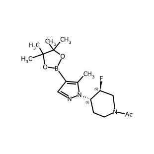 CC(=O)N1CC[C@H](n2ncc(B3OC(C)(C)C(C)(C)O3)c2C)[C@@H](F)C1